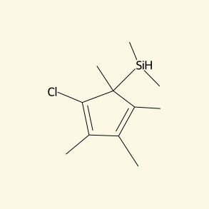 CC1=C(C)C(C)([SiH](C)C)C(Cl)=C1C